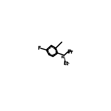 C[CH][C@H](c1ccc(F)cc1C)C(C)C